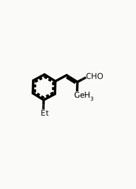 CCc1cccc(C=[C]([GeH3])C=O)c1